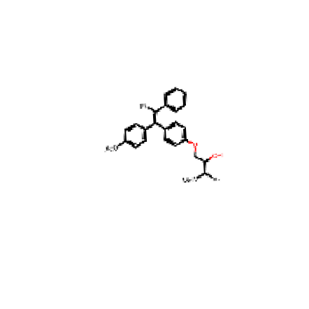 CCC(=C(c1ccc(OCC(O)C(CC)NC)cc1)c1ccc(OC(C)=O)cc1)c1ccccc1